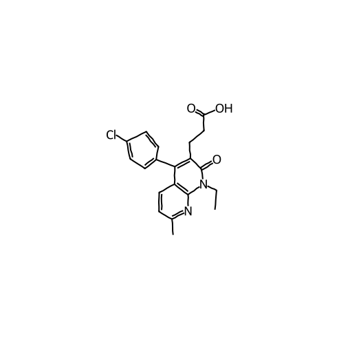 CCn1c(=O)c(CCC(=O)O)c(-c2ccc(Cl)cc2)c2ccc(C)nc21